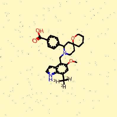 [2H]C([2H])([2H])c1cc(OC)c(CN2CCC3(CCCCO3)CC2c2ccc(C(=O)O)cc2)c2cc[nH]c12